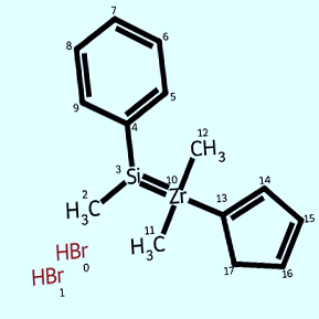 Br.Br.C[Si](c1ccccc1)=[Zr]([CH3])([CH3])[C]1=CC=CC1